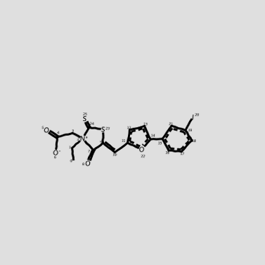 CC[N+]1(CC(=O)[O-])C(=O)C(=Cc2ccc(-c3cccc(I)c3)o2)SC1=S